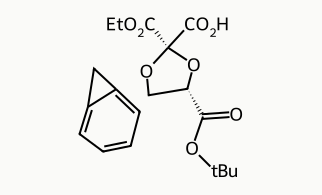 CCOC(=O)[C@@]1(C(=O)O)OC[C@@H](C(=O)OC(C)(C)C)O1.c1ccc2c(c1)C2